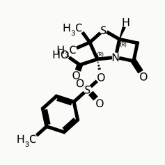 Cc1ccc(S(=O)(=O)O[C@@]2(C(=O)O)N3C(=O)C[C@H]3SC2(C)C)cc1